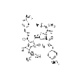 C[C@H]1C(S[C@H]2C[C@@H](C(=O)N(C)C)N(C(=O)OCc3ccc([N+](=O)[O-])cc3)C2)=C(C(=O)OCc2ccc([N+](=O)[O-])cc2)N2C(=O)[C@H]([C@@H](C)O)C12